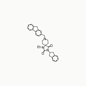 CCN1C(=O)N(C2Cc3ccccc3C2)C(=O)C12CCN(Cc1ccc3c(c1)Cc1ccccc1-3)CC2